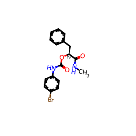 CNC(=O)[C@H](Cc1ccccc1)OC(=O)Nc1ccc(Br)cc1